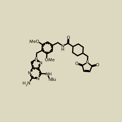 CCCCNc1nc(N)nc2cn(Cc3c(OC)cc(CNC(=O)C4CCC(CN5C(=O)C=CC5=O)CC4)cc3OC)nc12